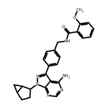 COc1ccccc1C(=O)NCc1ccc(-c2nn(C3CCC4CC43)c3ncnc(N)c23)cc1